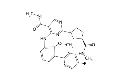 CNC(=O)c1cnc(N2CC[C@@H](C(=O)NC)C2)nc1Nc1cccc(-c2ncc(F)cn2)c1OC